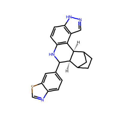 c1nc2ccc(C3Nc4ccc5[nH]ncc5c4[C@H]4C5CCC(C5)[C@@H]34)cc2s1